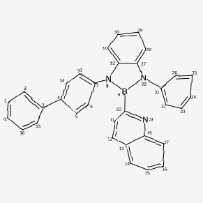 c1ccc(-c2ccc(N3B(c4ccc5ccccc5n4)N(c4ccccc4)c4ccccc43)cc2)cc1